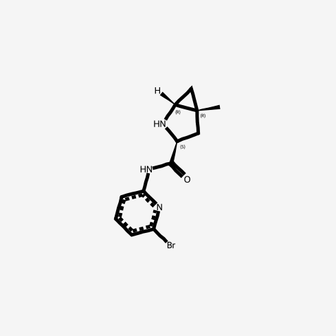 C[C@@]12C[C@@H](C(=O)Nc3cccc(Br)n3)N[C@@H]1C2